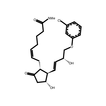 CNC(=O)CCC/C=C\C[C@H]1C(=O)C[C@@H](O)[C@@H]1/C=C/[C@@H](O)COc1cccc(Cl)c1